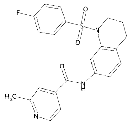 Cc1cc(C(=O)Nc2ccc3c(c2)N(S(=O)(=O)c2ccc(F)cc2)CCC3)ccn1